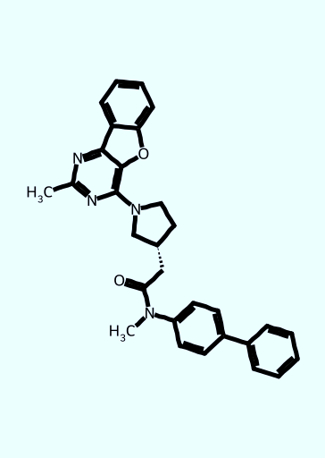 Cc1nc(N2CC[C@H](CC(=O)N(C)c3ccc(-c4ccccc4)cc3)C2)c2oc3ccccc3c2n1